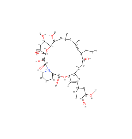 CCCC1/C=C(\C)CC(C)CC(OC)C2OC(O)(C(=O)C(=O)N3CCCCC3C(=O)OC(C(C)=CC3CCC(=O)C(OC)C3)C(C)CCC1=O)C(C)CC2OC